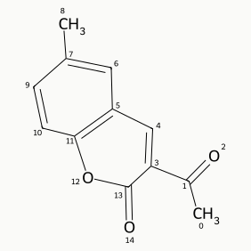 CC(=O)c1cc2cc(C)ccc2oc1=O